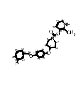 CC1=C(OC(=O)N2CCC(Oc3ccc(OCc4cccc(F)c4)cc3)CC2)C=CCN1